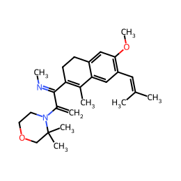 C=C(/C(=N/C)C1=C(C)c2cc(C=C(C)C)c(OC)cc2CC1)N1CCOCC1(C)C